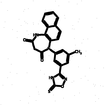 Cc1cc(-c2noc(=S)[nH]2)cc(N2C(=O)CC(=O)Nc3c2ccc2ccccc32)c1